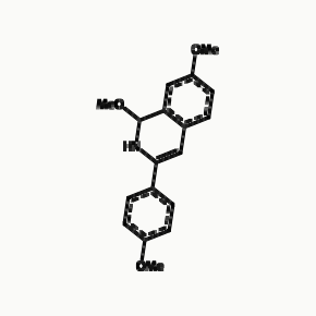 COc1ccc(C2=Cc3ccc(OC)cc3C(OC)N2)cc1